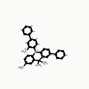 Cc1ccc2c(c1)C(C)(C)c1cc(-c3ccccc3)ccc1N2c1ccc(-c2ccccc2)cc1C